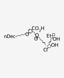 CCCCCCCCCCCCCCCCOc1ccc(C(=O)O)c(CCOC(=O)CCCC=CC[C@@H]2[C@@H](C=CC[C@H](O)C3(CC)CCC3)[C@H](O)C[C@H]2Cl)c1